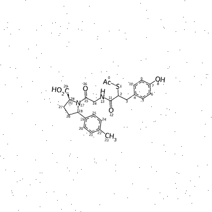 CC(=O)SC(Cc1ccc(O)cc1)C(=O)NCC(=O)N1C(c2ccc(C)cc2)CC[C@H]1C(=O)O